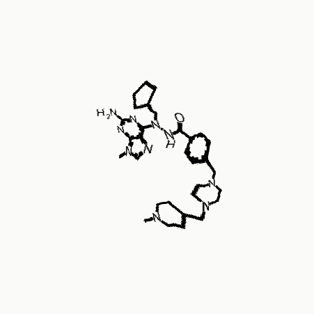 CN1CCC(CN2CCN(Cc3ccc(C(=O)NN(CC4CCCC4)c4nc(N)nc5c4ncn5C)cc3)CC2)CC1